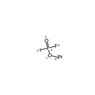 CC(C)OP(=O)(F)I